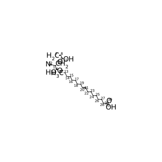 C=C(C#N)C(=O)O.C=CC(=O)O.CCCCCCCCC=CCCCCCCCC(=O)O